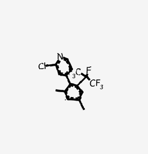 Cc1[c]c(C)c(-c2ccnc(Cl)c2)c(C(F)(C(F)(F)F)C(F)(F)F)c1